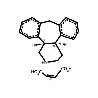 O=C(O)/C=C\C(=O)O.c1ccc2c(c1)Cc1ccccc1[C@H]1CNCC[C@H]21